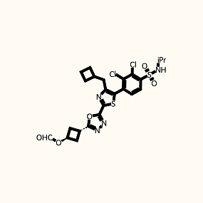 CC(C)NS(=O)(=O)c1ccc(-c2sc(-c3nnc([C@H]4C[C@H](OC=O)C4)o3)nc2CC2CCC2)c(Cl)c1Cl